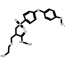 O=C(NO)C(COCCO)CS(=O)(=O)c1ccc(Oc2ccc(OC(F)(F)F)cc2)cc1